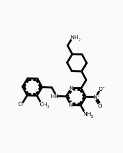 Cc1c(Cl)cccc1CNc1nc(N)c([N+](=O)[O-])c(CC2CCC(CN)CC2)n1